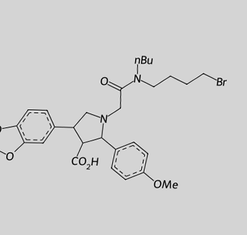 CCCCN(CCCCBr)C(=O)CN1CC(c2ccc3c(c2)OCO3)C(C(=O)O)C1c1ccc(OC)cc1